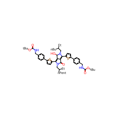 CCCCCC(CC)CN1C(=O)C2=C(c3ccc(-c4ccc(CNC(=O)OC(C)(C)C)cc4)s3)N(CC(CC)CCCC)C(O)C2=C1c1ccc(-c2ccc(CNC(=O)OC(C)(C)C)cc2)s1